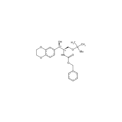 CC(C)(C)[Si](C)(C)OC[C@@H](NC(=O)OCc1ccccc1)[C@H](O)c1ccc2c(c1)OCCO2